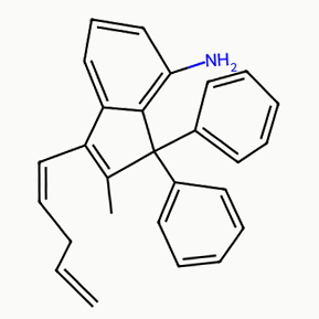 C=CC/C=C\C1=C(C)C(c2ccccc2)(c2ccccc2)c2c(N)cccc21